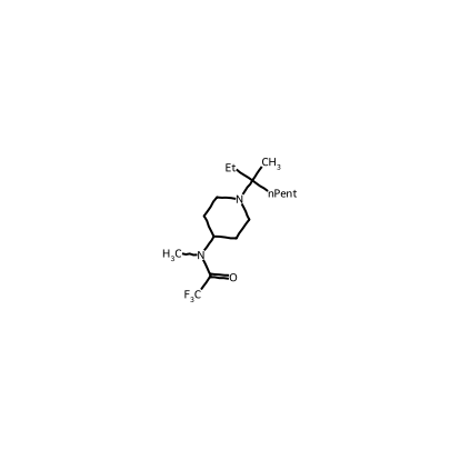 CCCCCC(C)(CC)N1CCC(N(C)C(=O)C(F)(F)F)CC1